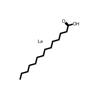 CCCCCCCCCCCCCC(=O)O.[La]